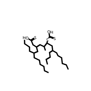 CCCCCCC(CCCC)CC(CC(O)=S)CC(C)C(CC(O)=S)CC(CCCC)CCCCCC